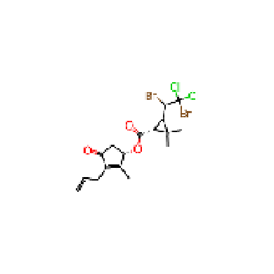 C=CCC1=C(C)[C@@H](OC(=O)[C@@H]2[C@@H](C(Br)C(Cl)(Cl)Br)C2(C)C)CC1=O